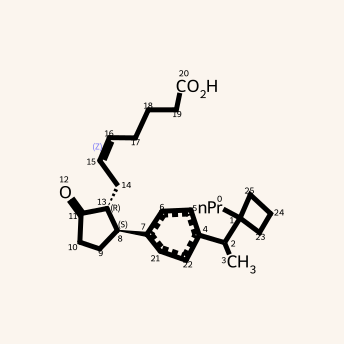 CCCC1(C(C)c2ccc([C@H]3CCC(=O)[C@@H]3C/C=C\CCCC(=O)O)cc2)CCC1